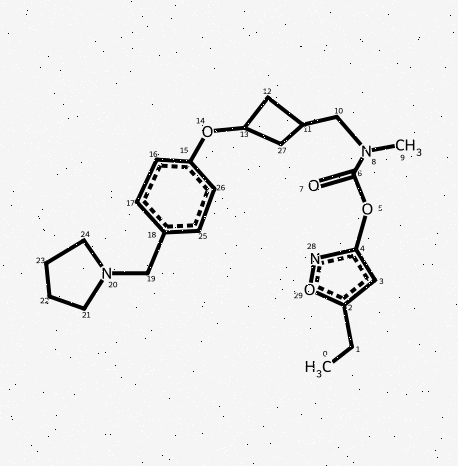 CCc1cc(OC(=O)N(C)CC2CC(Oc3ccc(CN4CCCC4)cc3)C2)no1